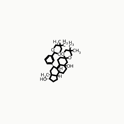 CC1(C)COC(c2cccc([C@H]3C[C@]4(C)[C@@H](O)CC[C@H]4[C@@H]4CC[C@@]5(O)CC6(CCC5=C43)OCC(C)(C)CO6)c2)OC1